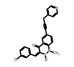 CN1c2ccc(C#CCc3ccncc3)cc2C(=O)/C(=C\c2cccc(Cl)c2)[S+]1[O-]